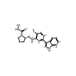 CCNC(=O)N1CCC[C@@H]1CNc1nc(-c2c[nH]c3ncccc23)ncc1F